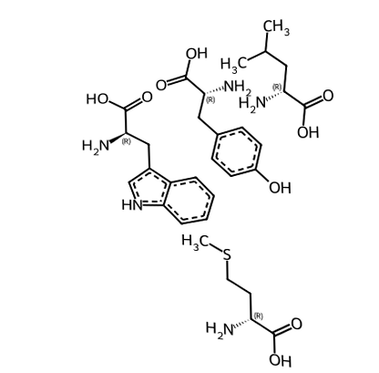 CC(C)C[C@@H](N)C(=O)O.CSCC[C@@H](N)C(=O)O.N[C@H](Cc1c[nH]c2ccccc12)C(=O)O.N[C@H](Cc1ccc(O)cc1)C(=O)O